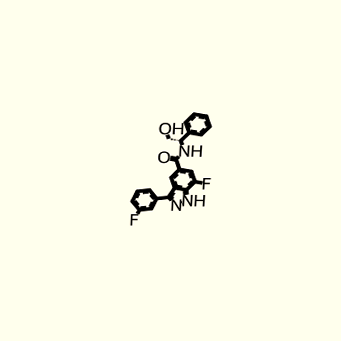 O=C(N[C@H](CO)c1ccccc1)c1cc(F)c2[nH]nc(-c3cccc(F)c3)c2c1